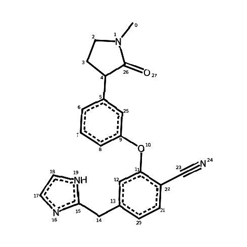 CN1CCC(c2cccc(Oc3cc(Cc4ncc[nH]4)ccc3C#N)c2)C1=O